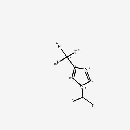 CC(C)n1cnc(C(F)(F)F)c1